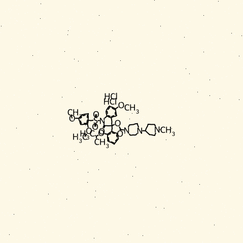 COc1ccc(S(=O)(=O)N2C(=O)C(OC(=O)N3CCN(C4CCN(C)CC4)CC3)(c3ccccc3OC(C)C)c3cc(OC)ccc32)c(OC)c1.Cl.Cl